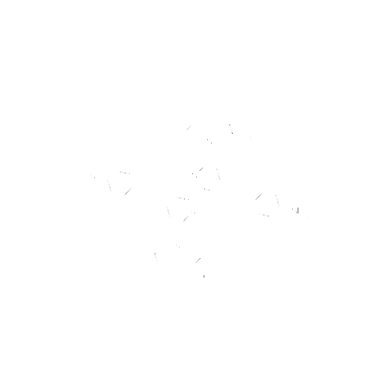 Nc1ccc(CCc2cc(CN(CC(=O)O)CC(=O)O)nc(-c3cc(CCc4ccc(N)cc4)cc(CN(CC(=O)O)CC(=O)O)n3)c2)cc1